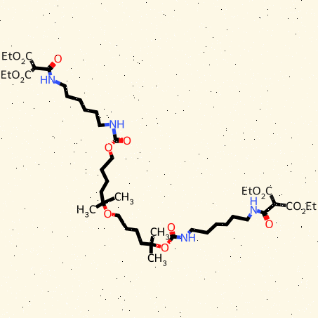 CCOC(=O)C(C(=O)NCCCCCCNC(=O)OCCCCC(C)(C)OCCCCC(C)(C)OC(=O)NCCCCCCNC(=O)C(C(=O)OCC)C(=O)OCC)C(=O)OCC